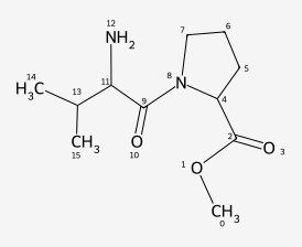 COC(=O)C1CCCN1C(=O)C(N)C(C)C